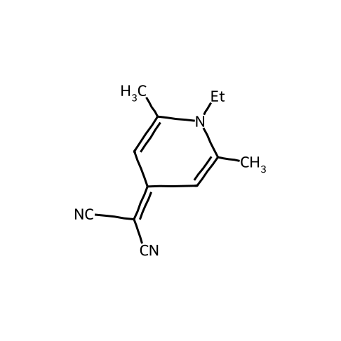 CCN1C(C)=CC(=C(C#N)C#N)C=C1C